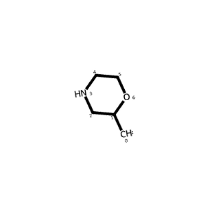 [CH]C1CNCCO1